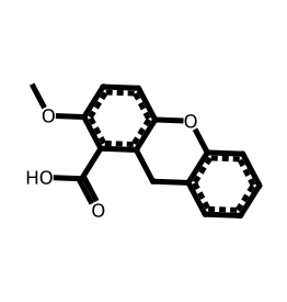 COc1ccc2c(c1C(=O)O)Cc1ccccc1O2